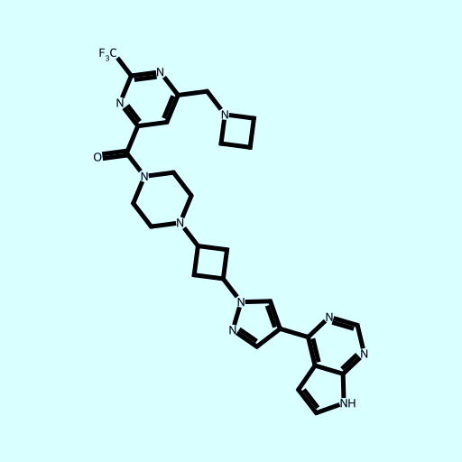 O=C(c1cc(CN2CCC2)nc(C(F)(F)F)n1)N1CCN(C2CC(n3cc(-c4ncnc5[nH]ccc45)cn3)C2)CC1